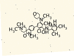 CCN(c1cc(-c2ccc3c(c2)N(C)C(=O)C32CCN(C(C)C)CC2)c(Cl)c(C(=O)NCc2c(C)cc(C)[nH]c2=O)c1C)C1CCOCC1